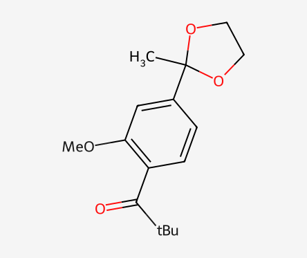 COc1cc(C2(C)OCCO2)ccc1C(=O)C(C)(C)C